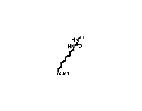 CCCCCCCCCCCCCCCCNC(=O)NCC